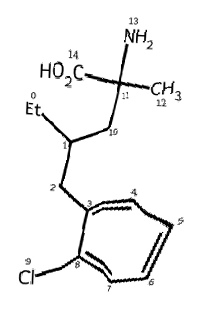 CCC(Cc1ccccc1Cl)CC(C)(N)C(=O)O